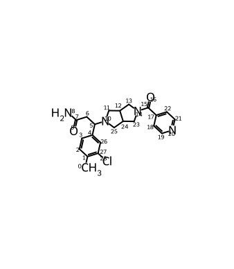 Cc1ccc(C(CC(N)=O)N2CC3CN(C(=O)c4ccncc4)CC3C2)cc1Cl